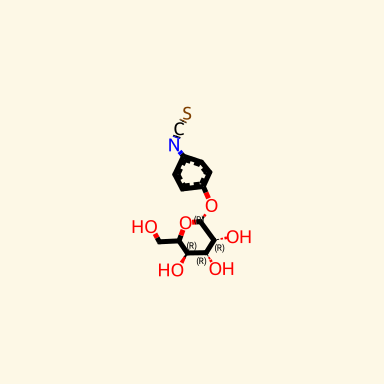 OCC1O[C@H](Oc2ccc(N=C=S)cc2)[C@H](O)[C@H](O)[C@H]1O